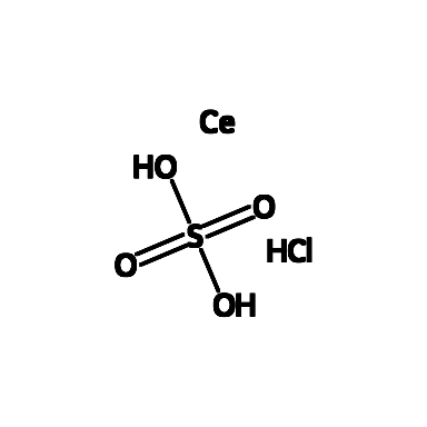 Cl.O=S(=O)(O)O.[Ce]